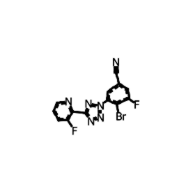 N#Cc1cc(F)c(Br)c(-n2nnc(-c3ncccc3F)n2)c1